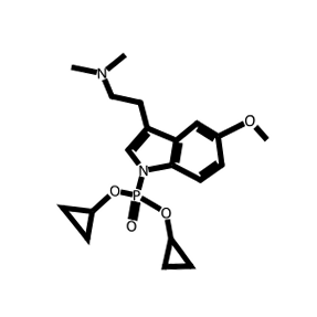 COc1ccc2c(c1)c(CCN(C)C)cn2P(=O)(OC1CC1)OC1CC1